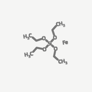 CCO[Si](OCC)(OCC)OCC.[Fe]